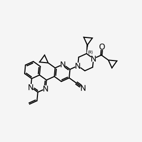 C=Cc1nc(-c2cc(C#N)c(N3CCN(C(=O)C4CC4)[C@H](C4CC4)C3)nc2C2CC2)c2ccccc2n1